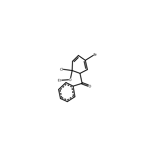 CCOC1(Cl)C=CC(Br)=CC1C(=O)c1ccccc1